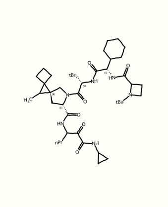 CCCC(NC(=O)[C@@H]1C[C@@]2(CN1C(=O)[C@@H](NC(=O)[C@@H](NC(=O)C1CCN1C(C)(C)C)C1CCCCC1)C(C)(C)C)C(C)C21CCC1)C(=O)C(=O)NC1CC1